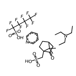 CC1(C)C2CCC1(CS(=O)(=O)O)C(=O)C2.CCN(CC)CC.O=S(=O)(O)C(F)(F)C(F)(F)C(F)(F)C(F)(F)F.c1ccncc1